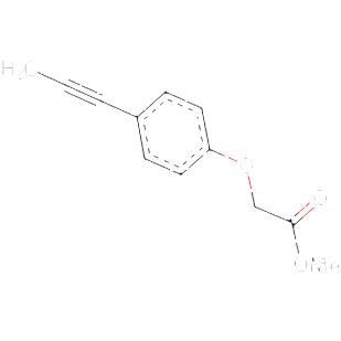 CC#Cc1ccc(OCC(=O)OC)cc1